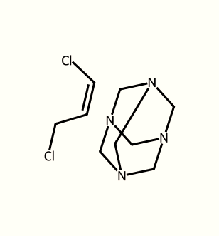 C1N2CN3CN1CN(C2)C3.Cl/C=C\CCl